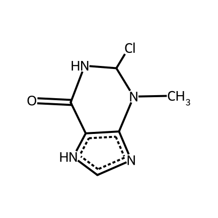 CN1c2nc[nH]c2C(=O)NC1Cl